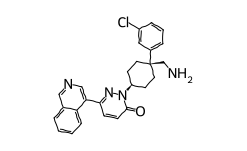 NC[C@]1(c2cccc(Cl)c2)CC[C@H](n2nc(-c3cncc4ccccc34)ccc2=O)CC1